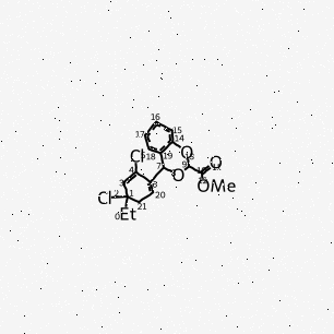 CCC1(Cl)C=C(Cl)C(C2OC(C(=O)OC)Oc3ccccc32)=CC1